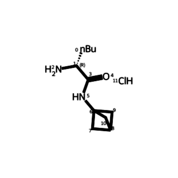 CCCC[C@@H](N)C(=O)NC12CC(C1)C2.Cl